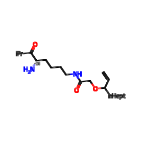 C=CC(CCCCCCC)OCC(=O)NCCCC[C@H](N)C(=O)C(C)C